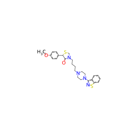 COc1ccc(C2SCN(CCCCN3CCN(c4nsc5ccccc45)CC3)C2=O)cc1